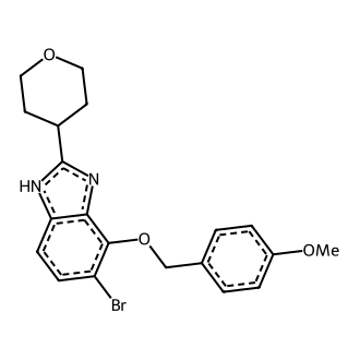 COc1ccc(COc2c(Br)ccc3[nH]c(C4CCOCC4)nc23)cc1